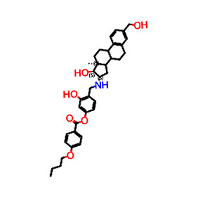 CCCCOc1ccc(C(=O)Oc2ccc(CN[C@H]3CC4C5CCc6cc(CO)ccc6C5CC[C@]4(C)[C@@H]3O)c(O)c2)cc1